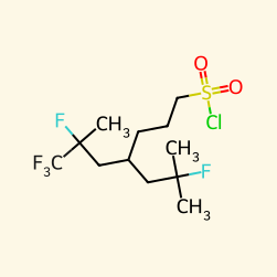 CC(C)(F)CC(CCCS(=O)(=O)Cl)CC(C)(F)C(F)(F)F